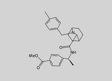 COC(=O)c1ccc([C@H](C)NC(=O)C2C3CCC(CC3)N2Cc2ccc(C)cc2)cc1